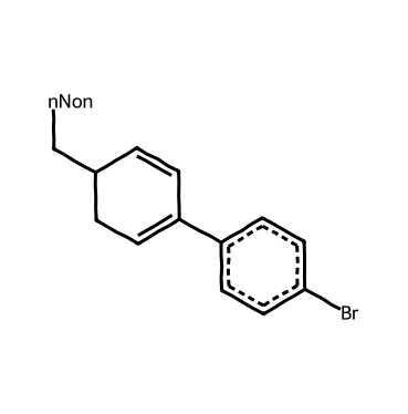 CCCCCCCCCCC1C=CC(c2ccc(Br)cc2)=CC1